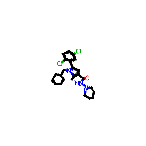 Cc1c(C(=O)NN2CCCCC2)cc(-c2cc(Cl)ccc2Cl)n1CC1CCCCC1